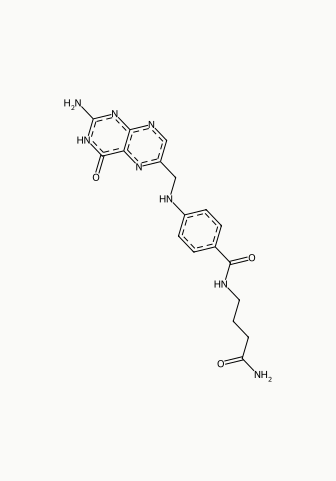 NC(=O)CCCNC(=O)c1ccc(NCc2cnc3nc(N)[nH]c(=O)c3n2)cc1